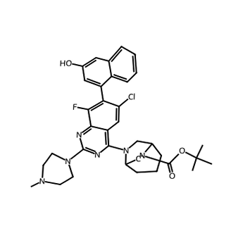 CN1CCN(c2nc(N3CC4CCCC3CN4C(=O)OC(C)(C)C)c3cc(Cl)c(-c4cc(O)cc5ccccc45)c(F)c3n2)CC1